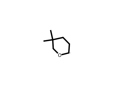 CC1(C)CC[CH]OC1